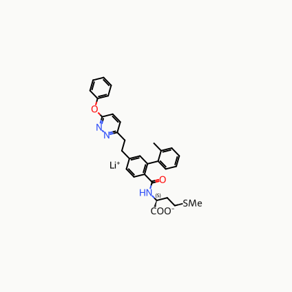 CSCC[C@H](NC(=O)c1ccc(CCc2ccc(Oc3ccccc3)nn2)cc1-c1ccccc1C)C(=O)[O-].[Li+]